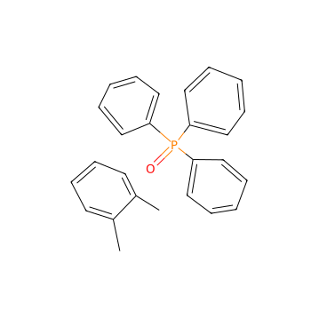 Cc1ccccc1C.O=P(c1ccccc1)(c1ccccc1)c1ccccc1